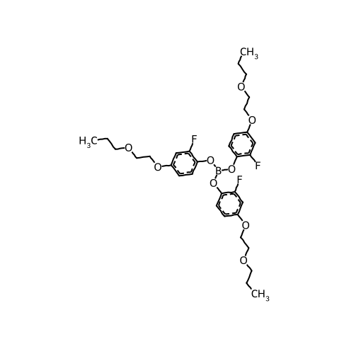 CCCOCCOc1ccc(OB(Oc2ccc(OCCOCCC)cc2F)Oc2ccc(OCCOCCC)cc2F)c(F)c1